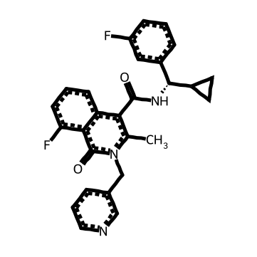 Cc1c(C(=O)N[C@H](c2cccc(F)c2)C2CC2)c2cccc(F)c2c(=O)n1Cc1cccnc1